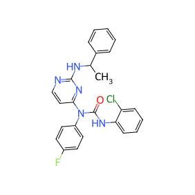 CC(Nc1nccc(N(C(=O)Nc2ccccc2Cl)c2ccc(F)cc2)n1)c1ccccc1